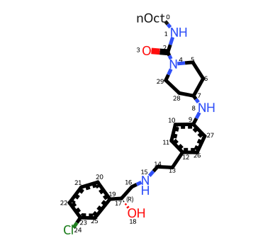 CCCCCCCCNC(=O)N1CCC(Nc2ccc(CCNC[C@H](O)c3cccc(Cl)c3)cc2)CC1